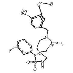 CCOc1cc(CN2CC[C@]3(CNS(=O)(=O)N3c3cccc(F)c3)C[C@@H]2C)ccc1O